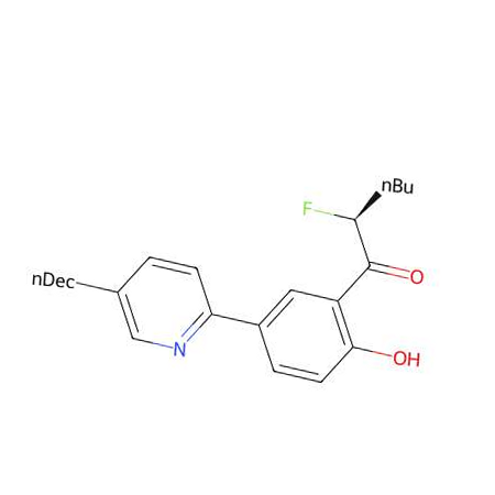 CCCCCCCCCCc1ccc(-c2ccc(O)c(C(=O)[C@@H](F)CCCC)c2)nc1